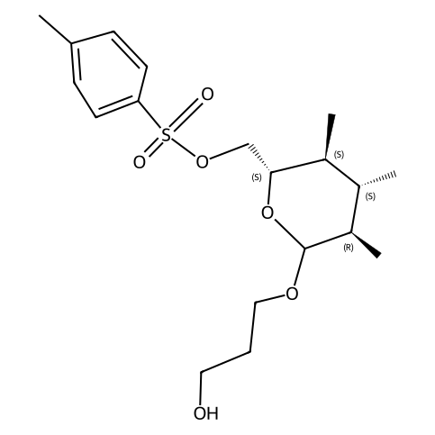 Cc1ccc(S(=O)(=O)OC[C@H]2OC(OCCCO)[C@H](C)[C@@H](C)[C@@H]2C)cc1